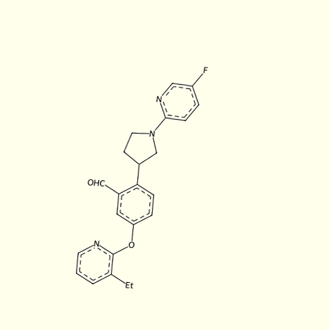 CCc1cccnc1Oc1ccc(C2CCN(c3ccc(F)cn3)C2)c(C=O)c1